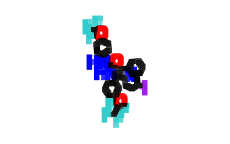 O=C(Nc1ccc(OC(F)(F)F)cc1)N[C@@](Cc1ccccc1)(c1cccc(OC(F)(F)C(F)F)c1)c1ccc(I)cn1